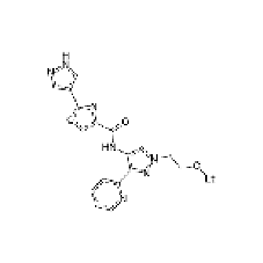 CCOCCn1cc(NC(=O)c2coc(-c3cn[nH]c3)n2)c(-c2ccccn2)n1